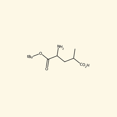 CC(CC(N)C(=O)OC(C)(C)C)C(=O)O